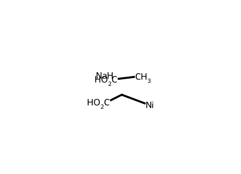 CC(=O)O.O=C(O)[CH2][Ni].[NaH]